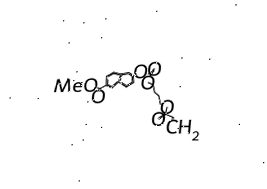 C=CC(=O)OCCCCOC(=O)Oc1ccc2cc(C(=O)OC)ccc2c1